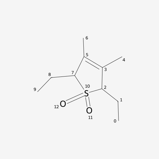 CCC1C(C)=C(C)C(CC)S1(=O)=O